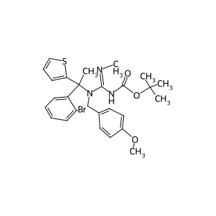 C/N=C(\NC(=O)OC(C)(C)C)N(Cc1ccc(OC)cc1)C(C)(c1cccs1)c1ccccc1Br